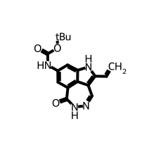 C=Cc1[nH]c2cc(NC(=O)OC(C)(C)C)cc3c2c1C=NNC3=O